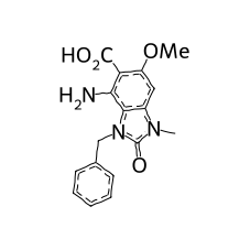 COc1cc2c(c(N)c1C(=O)O)n(Cc1ccccc1)c(=O)n2C